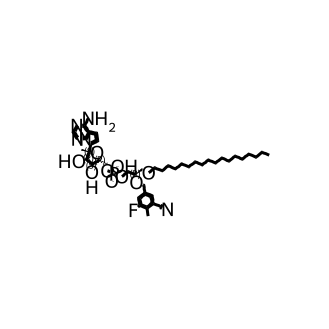 CCCCCCCCCCCCCCCCCCOC[C@H](COP(=O)(O)OC[C@H]1O[C@@](C)(c2ccc3c(N)ncnn23)[C@H](O)[C@@H]1O)OCc1cc(F)c(C)c(C#N)c1